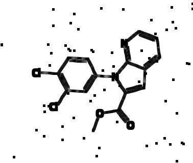 COC(=O)c1cc2cccnc2n1-c1ccc(Cl)c(Cl)c1